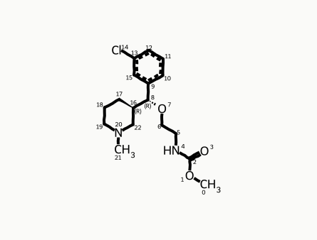 COC(=O)NCCO[C@@H](c1cccc(Cl)c1)[C@@H]1CCCN(C)C1